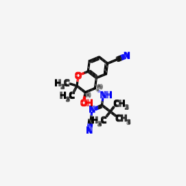 CC(C)(C)C(=NC#N)N[C@H]1c2cc(C#N)ccc2OC(C)(C)[C@@H]1O